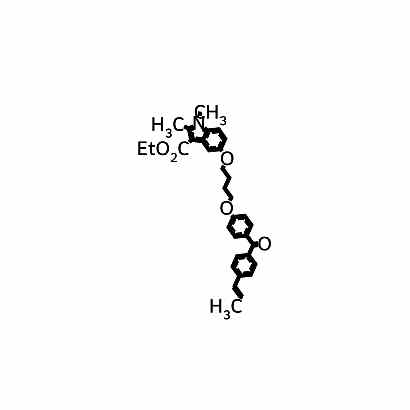 C/C=C/c1ccc(C(=O)c2ccc(OCCCCOc3ccc4c(c3)c(C(=O)OCC)c(C)n4C)cc2)cc1